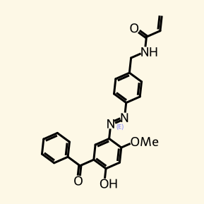 C=CC(=O)NCc1ccc(/N=N/c2cc(C(=O)c3ccccc3)c(O)cc2OC)cc1